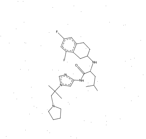 CC(C)CC(NC1CCc2cc(F)cc(F)c2C1)C(=O)Nc1cn(C(C)(C)CN2CCCC2)cn1